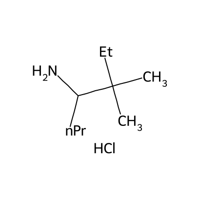 CCCC(N)C(C)(C)CC.Cl